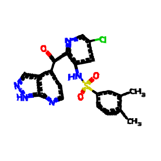 Cc1ccc(S(=O)(=O)Nc2cc(Cl)cnc2C(=O)c2ccnc3[nH]ncc23)cc1C